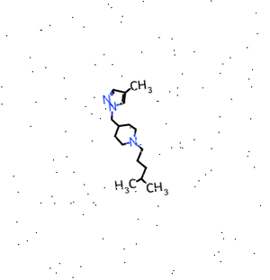 Cc1cnn(CC2CCN(CCCC(C)C)CC2)c1